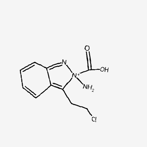 N[N+]1(C(=O)O)N=c2ccccc2=C1CCCl